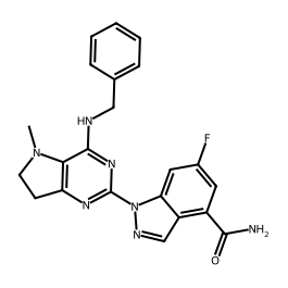 CN1CCc2nc(-n3ncc4c(C(N)=O)cc(F)cc43)nc(NCc3ccccc3)c21